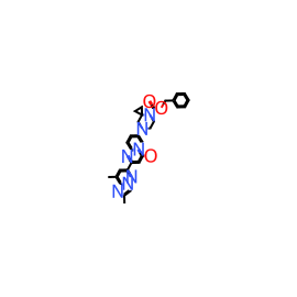 Cc1cn2nc(-c3cc(=O)n4cc(N5CCN(C(=O)OCc6ccccc6)C6(CC6)C5)ccc4n3)cc(C)c2n1